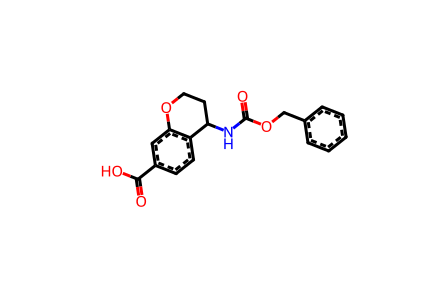 O=C(NC1CCOc2cc(C(=O)O)ccc21)OCc1ccccc1